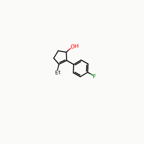 CCC1=C(c2ccc(F)cc2)C(O)CC1